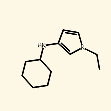 CCn1ccc(NC2CCCCC2)c1